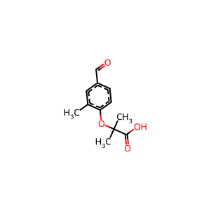 Cc1cc(C=O)ccc1OC(C)(C)C(=O)O